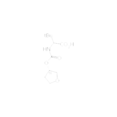 CC(C)(C)C(NC(=O)O[C@H]1CCOC1)C(=O)O